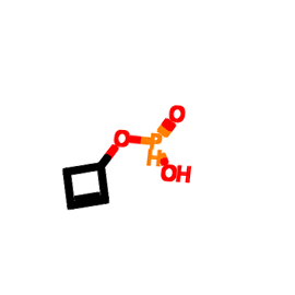 O=[PH](O)OC1C=CC1